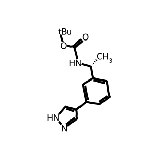 C[C@@H](NC(=O)OC(C)(C)C)c1cccc(-c2cn[nH]c2)c1